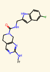 CC(C)Nc1ncc2c(n1)CN(C(=O)NCc1cc3cc(F)ccc3[nH]1)CC2